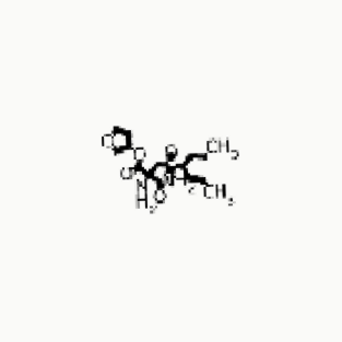 CCCC(CCC)S(=O)(=O)CC(N)(C(N)=O)C(=O)O[C@H]1CCOC1